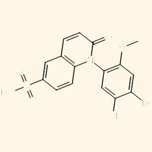 COc1cc(Br)c(Cl)cc1-n1c(=O)ccc2cc(S(=O)(=O)O)ccc21